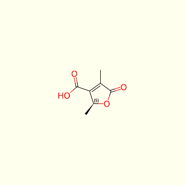 CC1=C(C(=O)O)[C@H](C)OC1=O